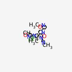 CCOc1ncccc1-c1ccc2c(n1)C(=O)N(C1CN(C)C1)C[C@]21CCN(c2ccc(OC)nc2C(F)(F)F)C[C@H]1CC